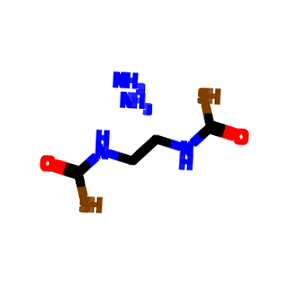 N.N.O=C(S)NCCNC(=O)S